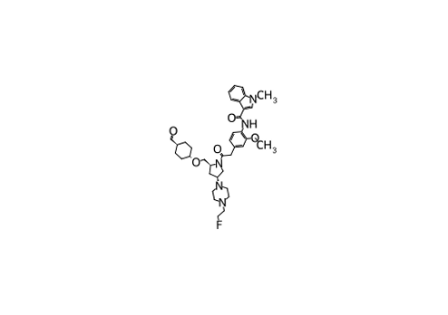 COc1cc(CC(=O)N2C[C@@H](N3CCN(CCF)CC3)C[C@H]2CO[C@H]2CC[C@H](C=O)CC2)ccc1NC(=O)c1cn(C)c2ccccc12